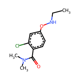 CCNOc1ccc(C(=O)N(C)C)c(Cl)c1